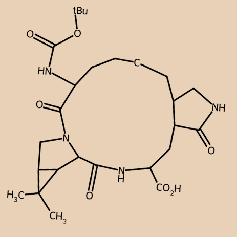 CC(C)(C)OC(=O)NC1CCCCC2CNC(=O)C2CC(C(=O)O)NC(=O)C2C3C(CN2C1=O)C3(C)C